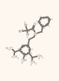 CC(C)c1cc(CCN(Cc2ccccc2)C(=O)C(Br)(Br)Br)cc(C(C)C)c1O